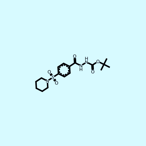 CC(C)(C)OC(=O)NNC(=O)c1ccc(S(=O)(=O)N2CCCCC2)cc1